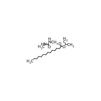 CCCCCCCCCCCCCC(=O)OC(C)C.CNC(=O)NC